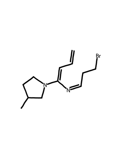 C=C/C=C(\N=C/CCBr)N1CCC(C)C1